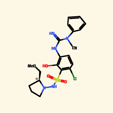 COC[C@@H]1CCCN1NS(=O)(=O)c1c(Cl)ccc(NC(=N)N(C#N)c2ccccc2)c1O